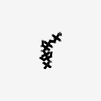 CCC(CC)(O[Si](C)(C)C)[Si](C)(C)O[C@](C)(CC)[Si](C)(C)C=CC(C)(C)O